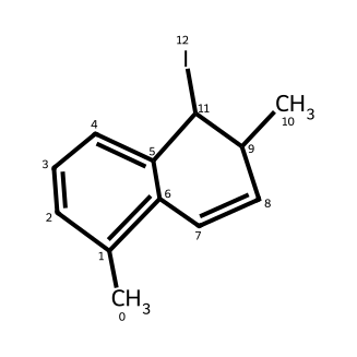 Cc1cccc2c1C=CC(C)C2I